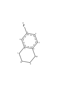 Fc1ccc2c(c1)C[CH]CC2